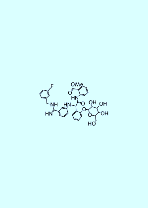 COC(=O)c1ccccc1NC(=O)C(Nc1cccc(C(=N)NCc2cccc(F)c2)c1)c1ccccc1OC1OC(CO)C(O)C(O)C1O